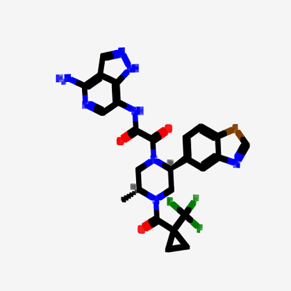 C[C@@H]1CN(C(=O)C(=O)Nc2cnc(N)c3cn[nH]c23)[C@@H](c2ccc3scnc3c2)CN1C(=O)C1(C(F)(F)F)CC1